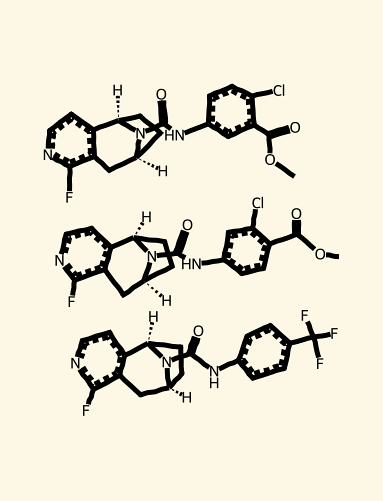 COC(=O)c1cc(NC(=O)N2[C@H]3CC[C@@H]2c2ccnc(F)c2C3)ccc1Cl.COC(=O)c1ccc(NC(=O)N2[C@H]3CC[C@@H]2c2ccnc(F)c2C3)cc1Cl.O=C(Nc1ccc(C(F)(F)F)cc1)N1[C@H]2CC[C@@H]1c1ccnc(F)c1C2